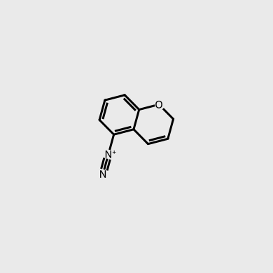 N#[N+]c1cccc2c1C=CCO2